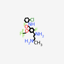 C/C(N)=C/C=C(\N)c1cc(OCC(F)(F)F)c(C(=O)NC2=C(Cl)CCC=C2F)cc1F